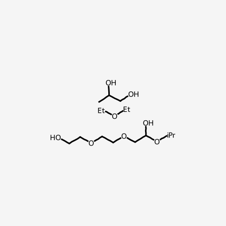 CC(C)OC(O)COCCOCCO.CC(O)CO.CCOCC